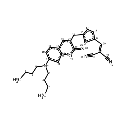 CCCCN(CCCC)c1ccc2cc(Cc3ccc(C=C(C#N)C#N)s3)c(=S)oc2c1